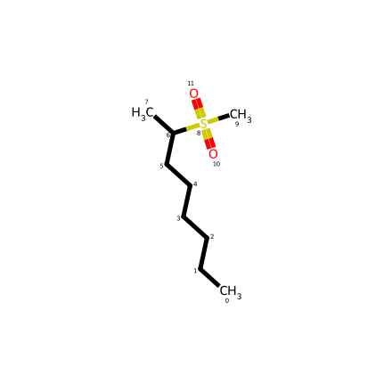 CCCCCCC(C)S(C)(=O)=O